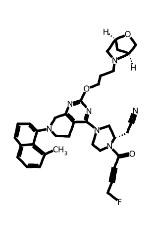 Cc1cccc2cccc(N3CCc4c(nc(OCCCN5C[C@@H]6C[C@H]5CO6)nc4N4CCN(C(=O)C#CCF)[C@@H](CC#N)C4)C3)c12